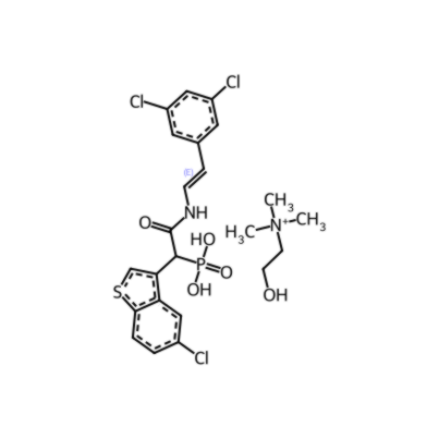 C[N+](C)(C)CCO.O=C(N/C=C/c1cc(Cl)cc(Cl)c1)C(c1csc2ccc(Cl)cc12)P(=O)(O)O